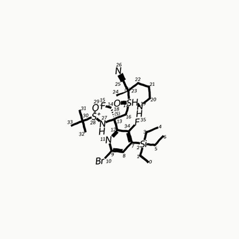 CC[Si](CC)(CC)c1cc(Br)nc([C@](CF)(C[SH]2(=O)NCCC[C@@]2(C)C#N)N[S+]([O-])C(C)(C)C)c1F